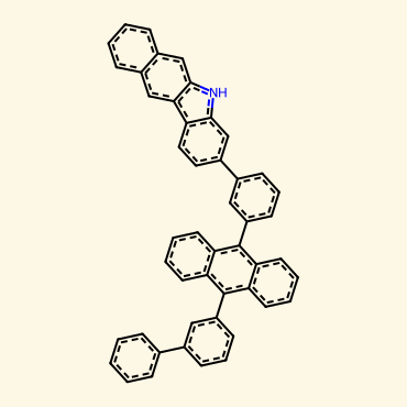 c1ccc(-c2cccc(-c3c4ccccc4c(-c4cccc(-c5ccc6c(c5)[nH]c5cc7ccccc7cc56)c4)c4ccccc34)c2)cc1